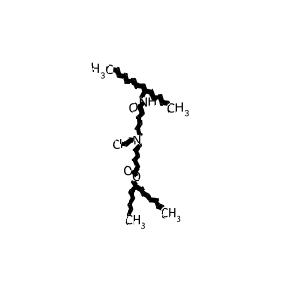 CCCCCCCCC(CCCCCC)CNC(=O)CCCCCN(CCCl)CCCCCC(=O)OCC(CCCCCC)CCCCCCCC